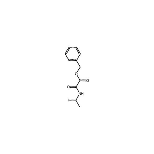 CC(I)NC(=O)C(=O)OCc1ccccc1